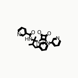 CC(Cc1ccccc1)C(C)(NC(=O)c1cccnc1)Nc1c(Nc2cccnc2)c(=O)c1=O